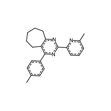 Cc1ccc(-c2nc(-c3cccc(C)n3)nc3c2CCCCC3)cc1